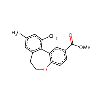 COC(=O)c1ccc2c(c1)-c1c(C)cc(C)cc1CCO2